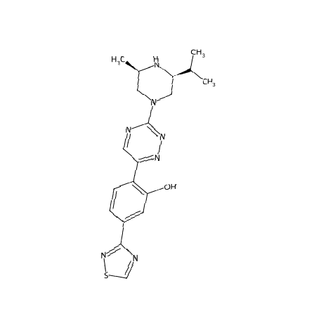 CC(C)[C@H]1CN(c2ncc(-c3ccc(-c4ncsn4)cc3O)nn2)C[C@@H](C)N1